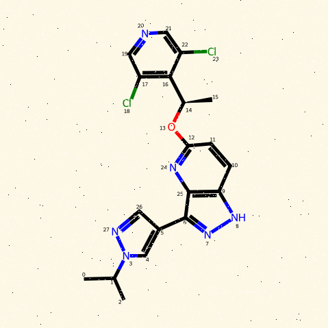 CC(C)n1cc(-c2n[nH]c3ccc(O[C@H](C)c4c(Cl)cncc4Cl)nc23)cn1